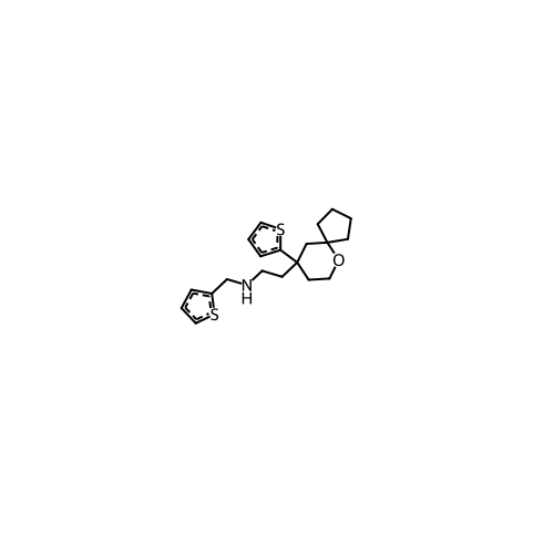 c1csc(CNCCC2(c3cccs3)CCOC3(CCCC3)C2)c1